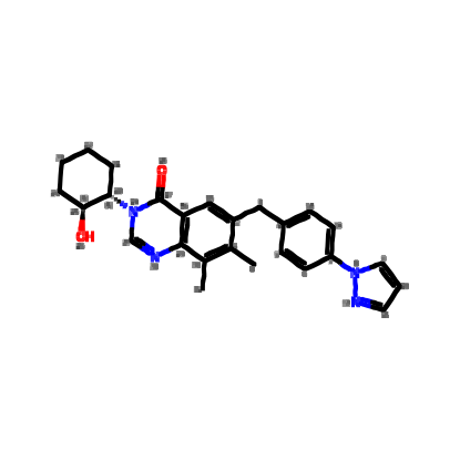 Cc1c(Cc2ccc(-n3cccn3)cc2)cc2c(=O)n([C@H]3CCCC[C@@H]3O)cnc2c1C